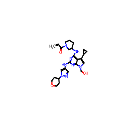 C=CC(=O)N1CCCC(Nc2nc(Nc3cnn(C4CCOCC4)c3)nc3c2c(C2CC2)cn3CO)C1